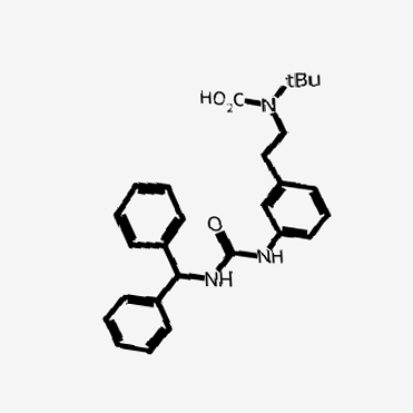 CC(C)(C)N(CCc1cccc(NC(=O)NC(c2ccccc2)c2ccccc2)c1)C(=O)O